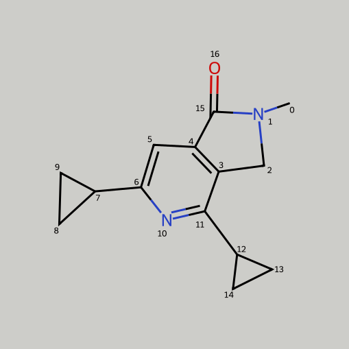 CN1Cc2c(cc(C3CC3)nc2C2CC2)C1=O